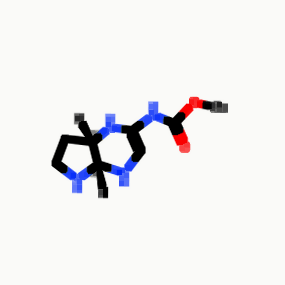 CC(C)(C)OC(=O)NC1=CN[C@@H]2NCC[C@@H]2N1